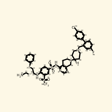 [2H]C1(N2CCc3c(ncnc3NS(=O)(=O)c3ccc(N[C@H](CCN)CSc4ccccc4)c(S(=O)(=O)C(F)(F)F)c3)C2)CCN(Cc2cc(F)ccc2-c2ccc(Cl)cc2)CC1